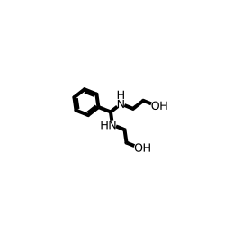 OCCNC(NCCO)c1ccccc1